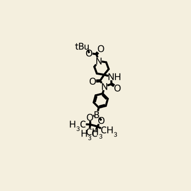 CC(C)(C)OC(=O)N1CCC2(CC1)NC(=O)N(c1ccc(B3OC(C)(C)C(C)(C)O3)cc1)C2=O